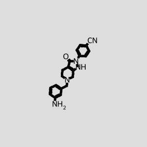 N#Cc1ccc(-n2[nH]c3c(c2=O)CCN(Cc2cccc(N)c2)C3)cc1